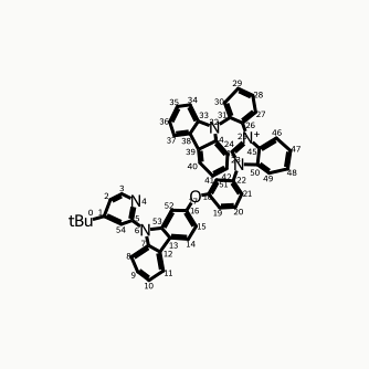 CC(C)(C)c1ccnc(-n2c3ccccc3c3ccc(Oc4cccc(-n5c[n+](-c6ccccc6-n6c7ccccc7c7ccccc76)c6ccccc65)c4)cc32)c1